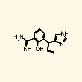 C=CC(c1c[nH]cn1)c1cccc(C(=N)N)c1O